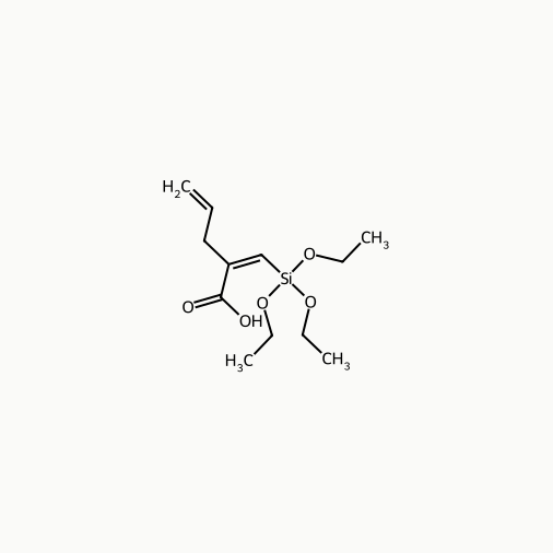 C=CCC(=C[Si](OCC)(OCC)OCC)C(=O)O